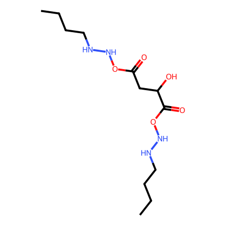 CCCCNNOC(=O)CC(O)C(=O)ONNCCCC